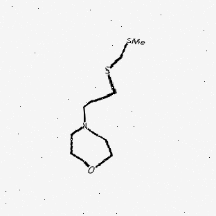 CSCSCCN1CCOCC1